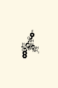 CCC(NC(=N)N)[C@H]1N[C@H](CNC(=O)Cc2ccc(F)cc2)CCN([C@@H](Cc2ccc3ccccc3c2)C(=O)NC)C1=O